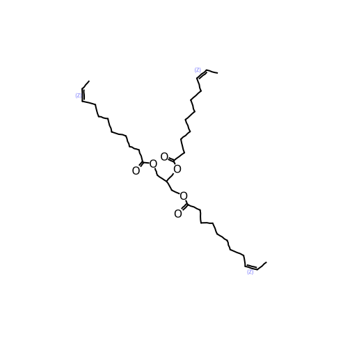 C/C=C\CCCCCCCC(=O)OCC(COC(=O)CCCCCCC/C=C\C)OC(=O)CCCCCCC/C=C\C